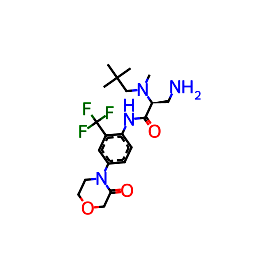 CN(CC(C)(C)C)[C@@H](CN)C(=O)Nc1ccc(N2CCOCC2=O)cc1C(F)(F)F